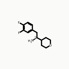 N[C@@H](Cc1ccc(F)c(F)c1)C1CCOCC1